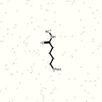 CCCCCCCCCC(=O)NC#N